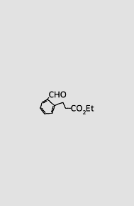 CCOC(=O)CCc1ccccc1C=O